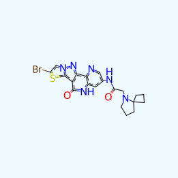 O=C(CN1CCCC12CCC2)Nc1cnc2c(c1)[nH]c(=O)c1c2nn2cc(Br)sc12